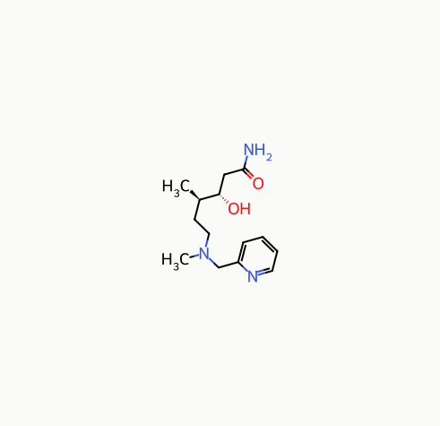 C[C@H](CCN(C)Cc1ccccn1)[C@@H](O)CC(N)=O